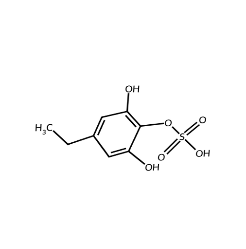 CCc1cc(O)c(OS(=O)(=O)O)c(O)c1